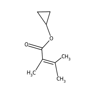 CC(C)=C(C)C(=O)OC1CC1